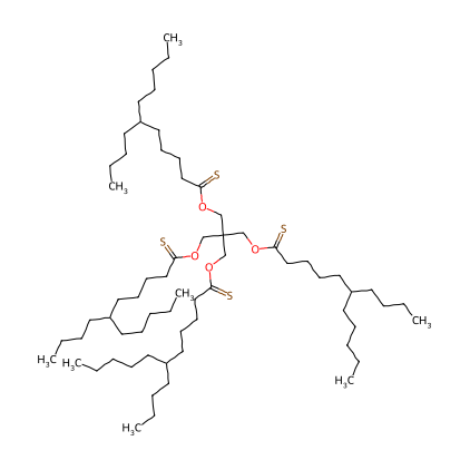 CCCCCC(CCCC)CCCCC(=S)OCC(COC(=S)CCCCC(CCCC)CCCCC)(COC(=S)CCCCC(CCCC)CCCCC)COC(=S)CCCCC(CCCC)CCCCC